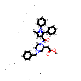 COC(=O)CC1CN(Cc2ccccc2)CCN1C(=O)c1cc(C)n(-c2ccccc2)c1-c1ccccc1